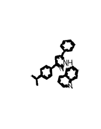 CC(C)c1ccc(-c2cc(-c3ccccc3)[nH]n2)cc1.c1ccc2ncccc2c1